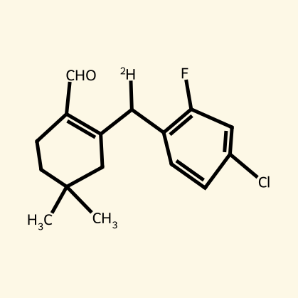 [2H]C(C1=C(C=O)CCC(C)(C)C1)c1ccc(Cl)cc1F